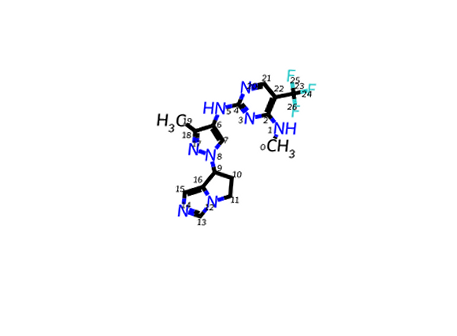 CNc1nc(Nc2cn(C3CCn4cncc43)nc2C)ncc1C(F)(F)F